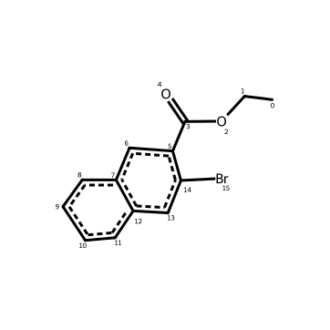 CCOC(=O)c1cc2ccccc2cc1Br